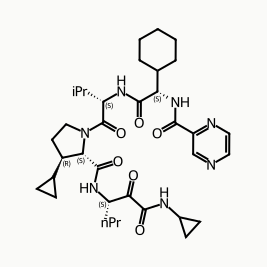 CCC[C@H](NC(=O)[C@@H]1[C@@H](C2CC2)CCN1C(=O)[C@@H](NC(=O)[C@@H](NC(=O)c1cnccn1)C1CCCCC1)C(C)C)C(=O)C(=O)NC1CC1